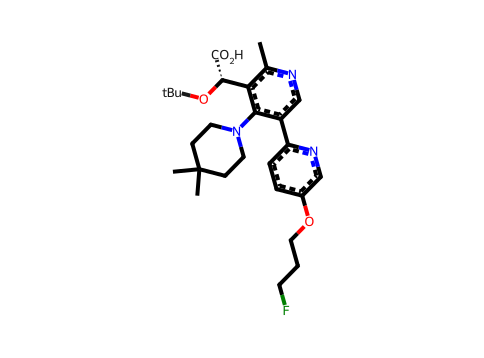 Cc1ncc(-c2ccc(OCCCF)cn2)c(N2CCC(C)(C)CC2)c1[C@H](OC(C)(C)C)C(=O)O